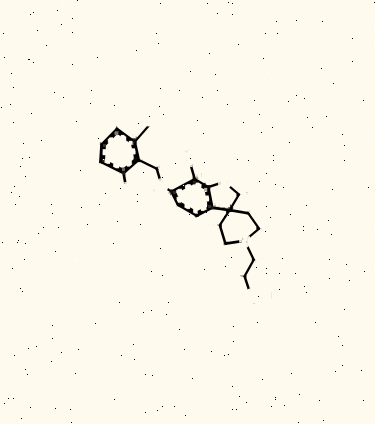 CCc1cccc(F)c1COc1ccc2c(c1Cl)OCC21CCN(CCC(=O)O)CC1